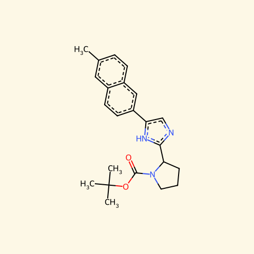 Cc1ccc2cc(-c3cnc(C4CCCN4C(=O)OC(C)(C)C)[nH]3)ccc2c1